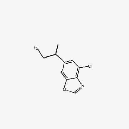 CC(CS)c1cc(Cl)c2ncoc2c1